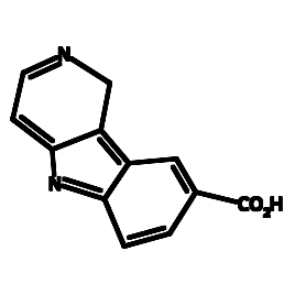 O=C(O)c1ccc2c(c1)=C1CN=CC=C1N=2